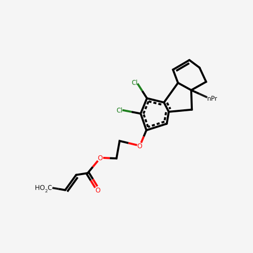 CCCC12CCC=CC1c1c(cc(OCCOC(=O)C=CC(=O)O)c(Cl)c1Cl)C2